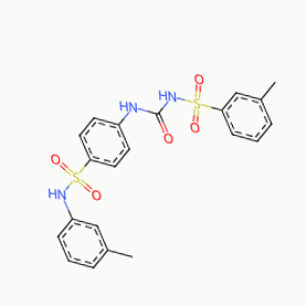 Cc1cccc(NS(=O)(=O)c2ccc(NC(=O)NS(=O)(=O)c3cccc(C)c3)cc2)c1